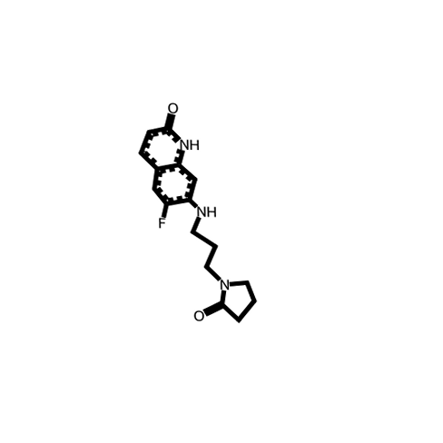 O=C1CCCN1CCCNc1cc2[nH]c(=O)ccc2cc1F